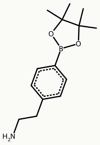 CC1(C)OB(c2ccc(CCN)cc2)OC1(C)C